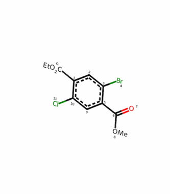 CCOC(=O)c1cc(Br)c(C(=O)OC)cc1Cl